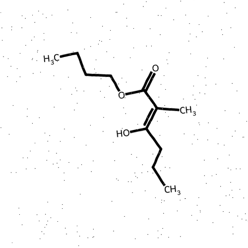 CCCCOC(=O)C(C)=C(O)CCC